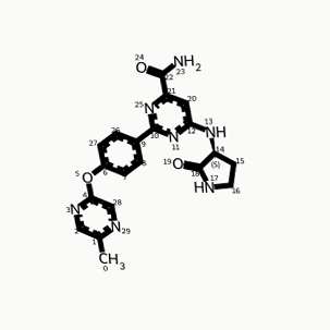 Cc1cnc(Oc2ccc(-c3nc(N[C@H]4CCNC4=O)cc(C(N)=O)n3)cc2)cn1